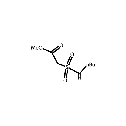 CCCCNS(=O)(=O)CC(=O)OC